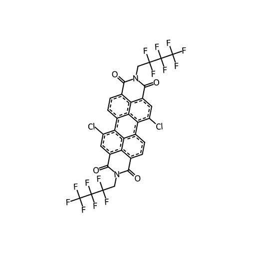 O=C1c2ccc3c4c(Cl)cc5c6c(ccc(c7c(Cl)cc(c2c37)C(=O)N1CC(F)(F)C(F)(F)C(F)(F)F)c64)C(=O)N(CC(F)(F)C(F)(F)C(F)(F)F)C5=O